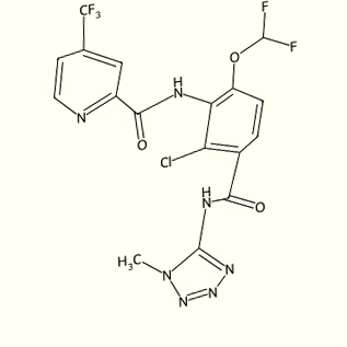 Cn1nnnc1NC(=O)c1ccc(OC(F)F)c(NC(=O)c2cc(C(F)(F)F)ccn2)c1Cl